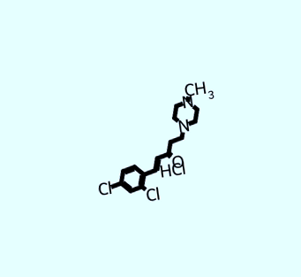 CN1CCN(CCC(=O)C=Cc2ccc(Cl)cc2Cl)CC1.Cl